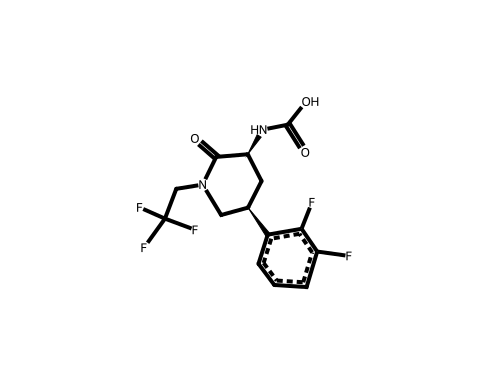 O=C(O)N[C@H]1C[C@@H](c2cccc(F)c2F)CN(CC(F)(F)F)C1=O